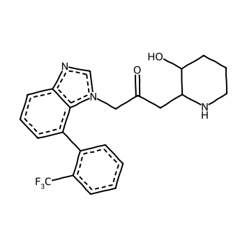 O=C(CC1NCCCC1O)Cn1cnc2cccc(-c3ccccc3C(F)(F)F)c21